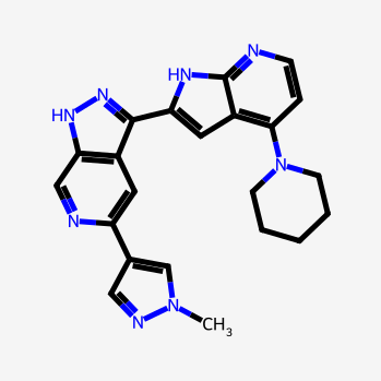 Cn1cc(-c2cc3c(-c4cc5c(N6CCCCC6)ccnc5[nH]4)n[nH]c3cn2)cn1